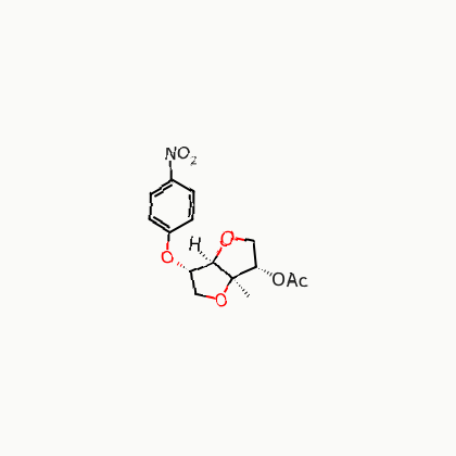 CC(=O)O[C@H]1CO[C@@H]2[C@@H](Oc3ccc([N+](=O)[O-])cc3)CO[C@]12C